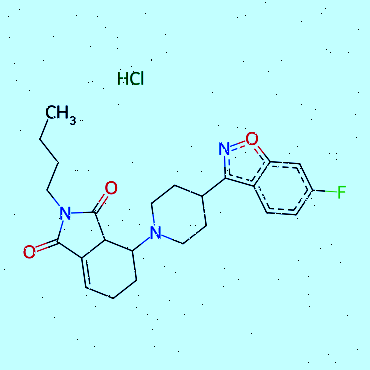 CCCCN1C(=O)C2=CCCC(N3CCC(c4noc5cc(F)ccc45)CC3)C2C1=O.Cl